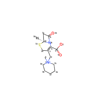 C[N+]1(CC2=C(C(=O)[O-])N3C(=O)C[C@@H]3SC2)CCCCC1